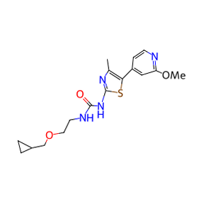 COc1cc(-c2sc(NC(=O)NCCOCC3CC3)nc2C)ccn1